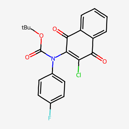 CC(C)(C)OC(=O)N(C1=C(Cl)C(=O)c2ccccc2C1=O)c1ccc(F)cc1